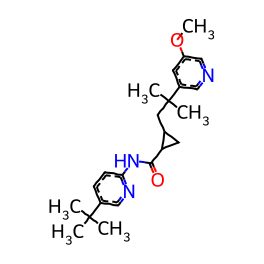 COc1cncc(C(C)(C)CC2CC2C(=O)Nc2ccc(C(C)(C)C)cn2)c1